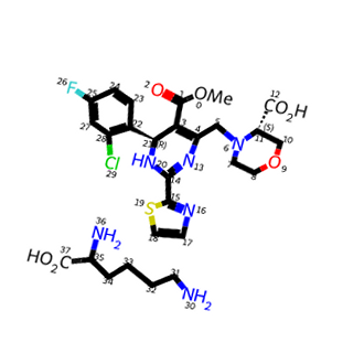 COC(=O)C1=C(CN2CCOC[C@H]2C(=O)O)N=C(c2nccs2)N[C@H]1c1ccc(F)cc1Cl.NCCCCC(N)C(=O)O